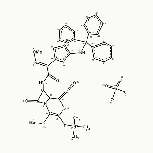 CON=C(C(=O)NC1C(=O)N2C(OC(C)(C)C)=C(C[N+](C)(C)C)SC(=C=O)C12)c1csc(NC(c2ccccc2)(c2ccccc2)c2ccccc2)n1.O=S(=O)([O-])C(F)(F)F